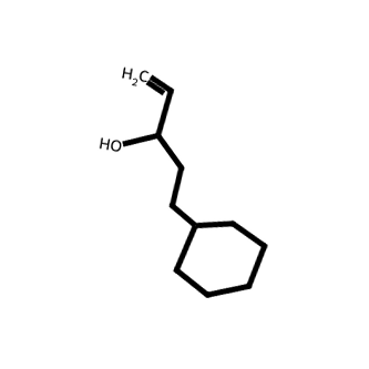 C=CC(O)CCC1CCCCC1